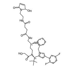 CC(C)(C)[C@H](c1cc(-c2cc(F)ccc2F)cn1Cc1ccccc1)N(CC[C@H](N)CNC(=O)CCC(=O)NCCN1C(=O)C=CC1O)C(=O)CO